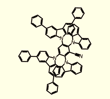 N#Cc1c(-n2c3ccccc3c3ccccc32)c(-n2c3ccc(-c4ccccc4)cc3c3cc(-c4ccccc4)ccc32)cc(-n2c3ccc(-c4ccccc4)cc3c3cc(-c4ccccc4)ccc32)c1-n1c2ccccc2c2ccccc21